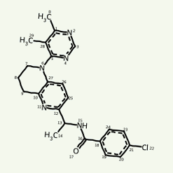 Cc1ncnc(N2CCCc3nc(C(C)NC(=O)c4ccc(Cl)cc4)ccc32)c1C